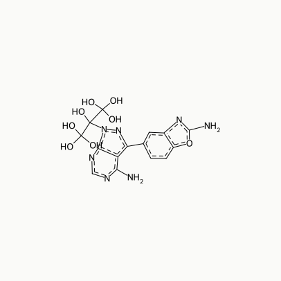 Nc1nc2cc(-c3nn(C(O)(C(O)(O)O)C(O)(O)O)c4ncnc(N)c34)ccc2o1